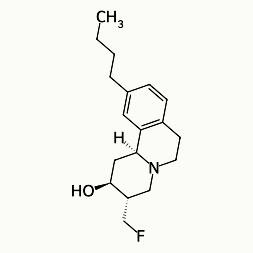 CCCCc1ccc2c(c1)[C@@H]1C[C@H](O)[C@@H](CF)CN1CC2